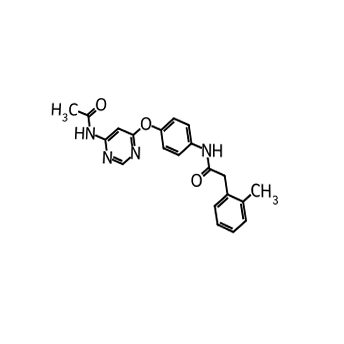 CC(=O)Nc1cc(Oc2ccc(NC(=O)Cc3ccccc3C)cc2)ncn1